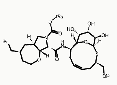 CC(C)C[C@@H]1CCO[C@@H]2[C@@H](C1)CN(C(=O)OC(C)(C)C)[C@@H]2C(=O)N[C@@H]1C/C=C\C[C@H](CO)S[C@H]2O[C@H]1[C@H](O)[C@H](O)[C@H]2O